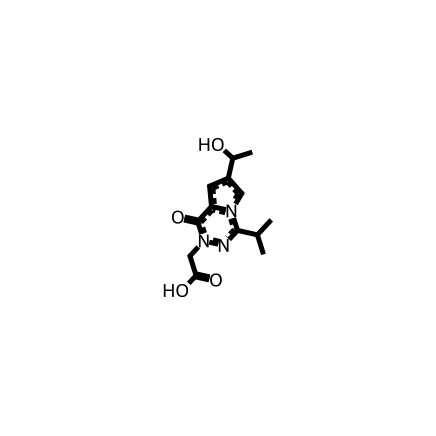 CC(C)c1nn(CC(=O)O)c(=O)c2cc(C(C)O)cn12